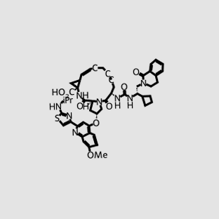 COc1ccc2c(O[C@@H]3C[C@H]4C(=O)N[C@]5(C(=O)O)CC5/C=C\CCCCC[C@H](NC(=O)N[C@H](CN5CCc6ccccc6C5=O)C5CCC5)C(=O)N4C3)cc(-c3csc(NC(C)C)n3)nc2c1